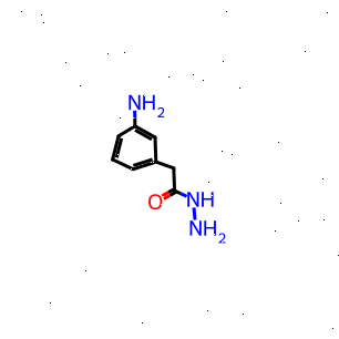 NNC(=O)Cc1cccc(N)c1